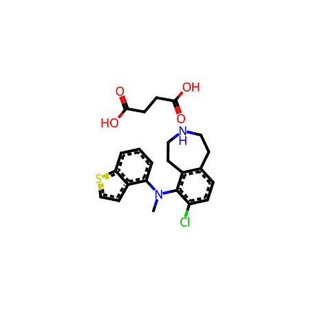 CN(c1c(Cl)ccc2c1CCNCC2)c1cccc2sccc12.O=C(O)CCC(=O)O